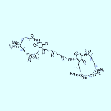 COC1/C=C\C=C(/C)C(=O)NC2=CC(=O)C(NCCCNCCCNCCCNC3=C4CC(C)CC(OC)C(O)C(C)/C=C(\C)C(OC(N)=O)C(OC)/C=C\C=C(/C)C(=O)NC(=CC3=O)C4=O)=C(CC(C)CC(OC)C(O)C(C)/C=C(\C)C1OC(N)=O)C2=O